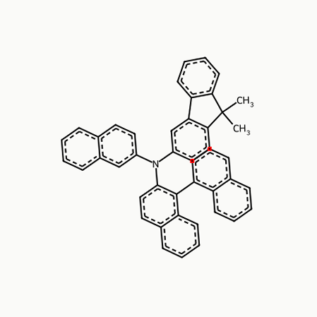 CC1(C)c2ccccc2-c2cc(N(c3ccc4ccccc4c3)c3ccc4ccccc4c3-c3cccc4ccccc34)ccc21